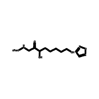 CCCCCNCC(=O)C(O)CCCCCO.c1cnon1